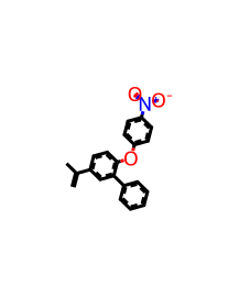 C=C(C)c1ccc(Oc2ccc([N+](=O)[O-])cc2)c(-c2ccccc2)c1